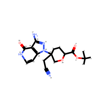 CC(C)(C)OC(=O)C1CCC(CC#N)(n2nc(N)c3c(=O)[nH]ccc32)CO1